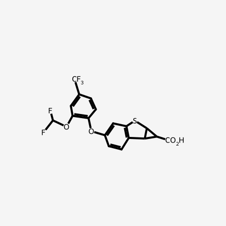 O=C(O)C1C2Sc3cc(Oc4ccc(C(F)(F)F)cc4OC(F)F)ccc3C21